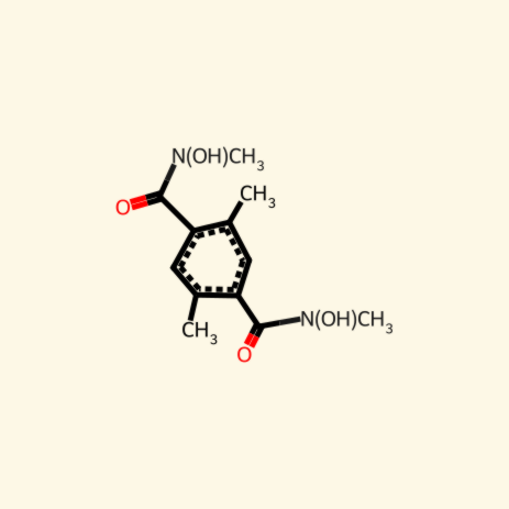 Cc1cc(C(=O)N(C)O)c(C)cc1C(=O)N(C)O